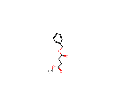 O=C(CCC(=O)O[N+](=O)[O-])OCc1ccccc1